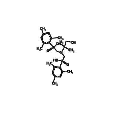 Cc1cc(C)c(P(=O)(O)CN(CP(=O)(O)c2c(C)cc(C)cc2C)C(C)(C)CO)c(C)c1